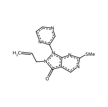 C=CCn1c(=O)c2cnc(SC)nc2n1-c1cnccn1